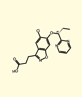 CC[C@@H](Oc1cc2onc(CCC(=O)O)c2cc1Cl)c1ncccn1